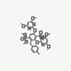 COc1cc(OC)nc(Oc2cc(P(=O)(OC)OC)c(Cc3ccc(C)cc3)c(Oc3nc(OC)cc(OC)n3)c2C(=O)O)n1